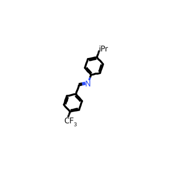 CC(C)c1ccc(/N=C/c2ccc(C(F)(F)F)cc2)cc1